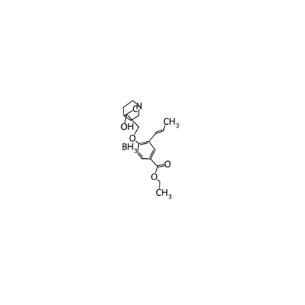 B.C/C=C/c1cc(C(=O)OCC)ccc1OCC1(O)CN2CCC1CC2